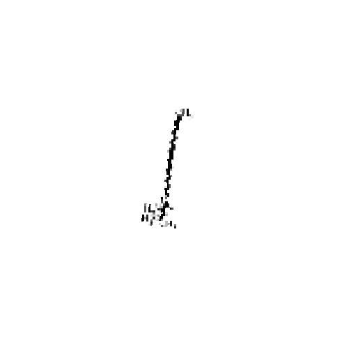 CCCCCCCCCCCCCCCCCCOC(=O)C(N)CC(C)C